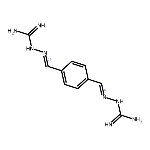 N=C(N)N/N=C/c1ccc(/C=N/NC(=N)N)cc1